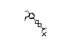 CC(C)(C)OC(=O)N1CC2(C1)CN(c1ccc(O)c(C=O)c1)C2